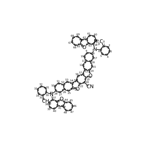 Cc1ccccc1N(c1ccc2cc3c(cc2c1)oc1c(C#N)c2oc4cc5cc(N(c6ccccc6C)c6cccc7c6oc6ccccc67)ccc5cc4c2cc13)c1cccc2c1oc1ccccc12